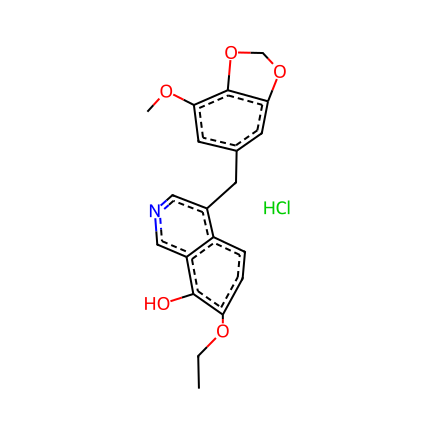 CCOc1ccc2c(Cc3cc(OC)c4c(c3)OCO4)cncc2c1O.Cl